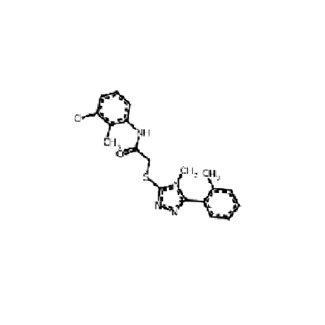 Cc1ccccc1-c1nnc(SCC(=O)Nc2cccc(Cl)c2C)n1C